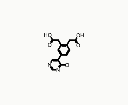 O=C(O)Cc1ccc(-c2cncnc2Cl)cc1CC(=O)O